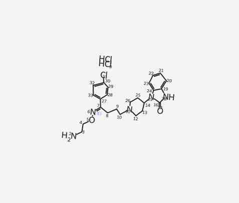 Cl.Cl.NCCO/N=C(\CCCN1CCC(n2c(=O)[nH]c3ccccc32)CC1)c1ccc(Cl)cc1